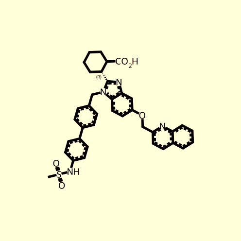 CS(=O)(=O)Nc1ccc(-c2ccc(Cn3c([C@@H]4CCCCC4C(=O)O)nc4cc(OCc5ccc6ccccc6n5)ccc43)cc2)cc1